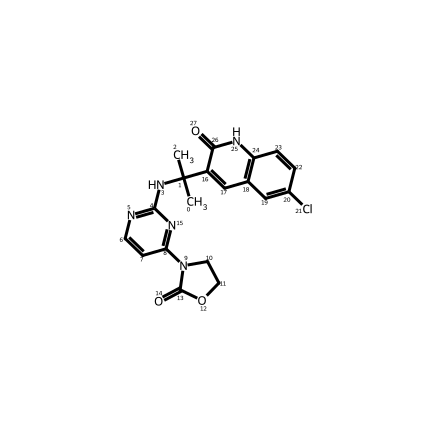 CC(C)(Nc1nccc(N2CCOC2=O)n1)c1cc2cc(Cl)ccc2[nH]c1=O